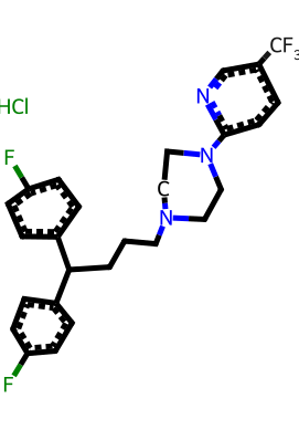 Cl.Fc1ccc(C(CCCN2CCN(c3ccc(C(F)(F)F)cn3)CC2)c2ccc(F)cc2)cc1